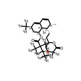 [2H]C([2H])([2H])[C@H]1C=C2C=C[C@H](C)[C@H](CCC3C[C@@H](O)C([2H])([2H])C(=O)O3)[C@H]2[C@@H](OC(=O)C(C([2H])([2H])[2H])(C([2H])([2H])[2H])C([2H])([2H])C([2H])([2H])[2H])C1